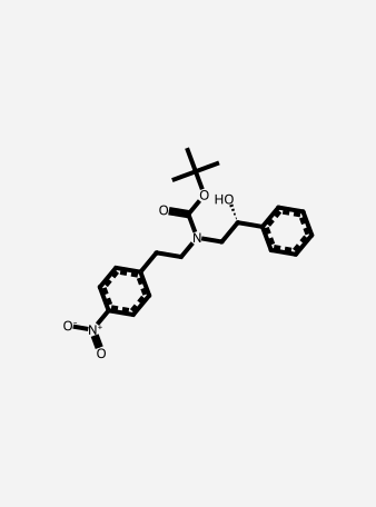 CC(C)(C)OC(=O)N(CCc1ccc([N+](=O)[O-])cc1)C[C@H](O)c1ccccc1